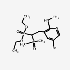 CCOP(=O)(OCC)C(Cc1cc(Br)cnc1NC)P(C)(C)=O